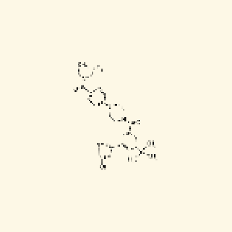 CCN(CC)C(=O)c1ccc(N2CCN(C(=O)c3cc(-c4cncc(O)c4)cc(C(C)(C)C)c3)CC2)cc1